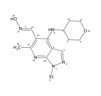 CCn1ncc2c(NC3CCOCC3)c(/C=N/O)c(C)nc21